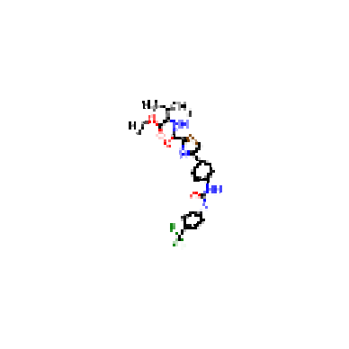 COC(=O)C(NC(=O)c1nc(-c2ccc(NC(=O)Nc3ccc(C(F)(F)F)cc3)cc2)cs1)C(C)C